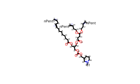 CCCCC/C=C\C/C=C\CCCCCCCC(=O)OCC(COC(=O)CCC(OCC/C=C\CCCCC)OCC/C=C\CCCCC)COC(=O)OCC1CCCN(CC)C1